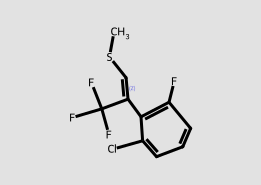 CS/C=C(/c1c(F)cccc1Cl)C(F)(F)F